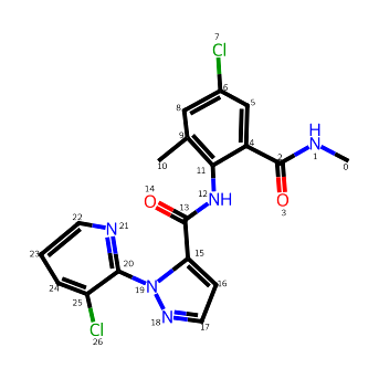 CNC(=O)c1cc(Cl)cc(C)c1NC(=O)c1ccnn1-c1ncccc1Cl